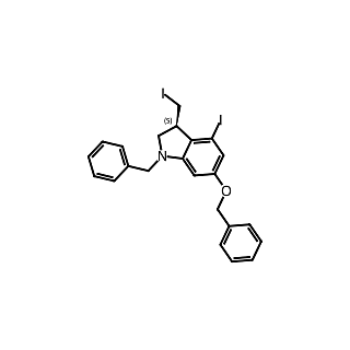 IC[C@@H]1CN(Cc2ccccc2)c2cc(OCc3ccccc3)cc(I)c21